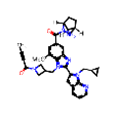 CC#CC(=O)N1CC(Cn2c(-c3cc4cccnc4n3CC3CC3)nc3cc(C(=O)N4C[C@H]5CC[C@@H]4[C@@H]5N)cc(OC)c32)C1